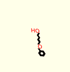 OCCCC=CCOCc1ccccc1